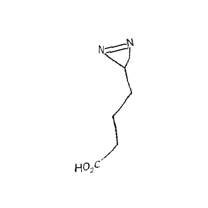 O=C(O)CCCC1N=N1